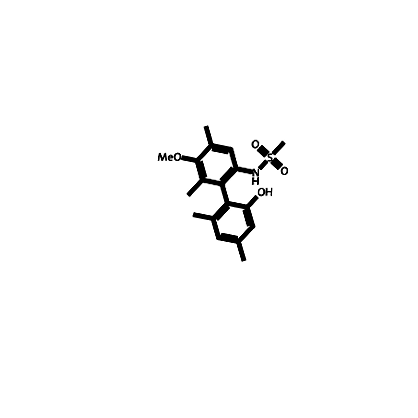 COc1c(C)cc(NS(C)(=O)=O)c(-c2c(C)cc(C)cc2O)c1C